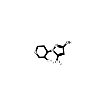 Cc1cc(O)nn1C1CCOCC1C